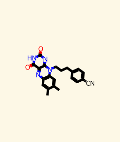 Cc1cc2nc3c(=O)[nH]c(=O)nc-3n(CCCc3ccc(C#N)cc3)c2cc1C